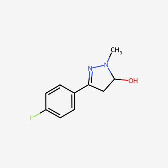 CN1N=C(c2ccc(F)cc2)CC1O